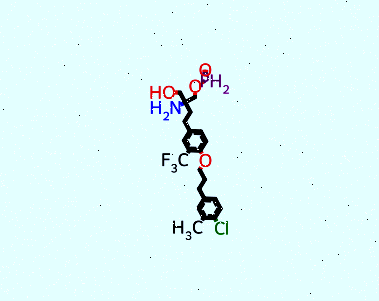 Cc1cc(CCCOc2ccc(CCC(N)(CO)CO[PH2]=O)cc2C(F)(F)F)ccc1Cl